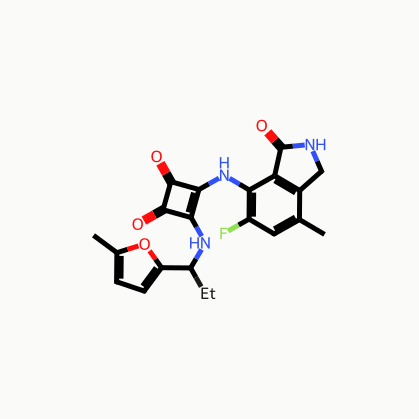 CCC(Nc1c(Nc2c(F)cc(C)c3c2C(=O)NC3)c(=O)c1=O)c1ccc(C)o1